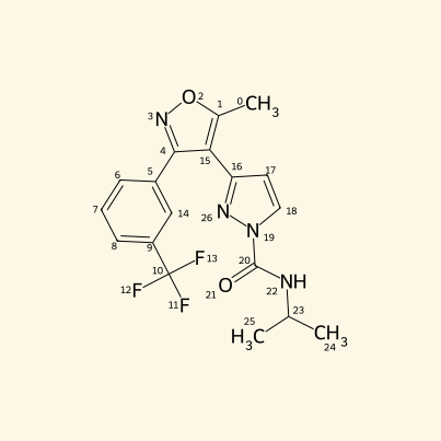 Cc1onc(-c2cccc(C(F)(F)F)c2)c1-c1ccn(C(=O)NC(C)C)n1